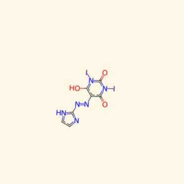 O=c1c(N=Nc2ncc[nH]2)c(O)n(I)c(=O)n1I